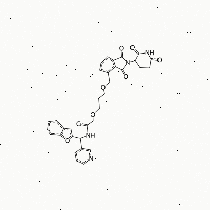 O=C1CCC(N2C(=O)c3cccc(COCCCOCC(=O)NC(c4cccnc4)c4cc5ccccc5o4)c3C2=O)C(=O)N1